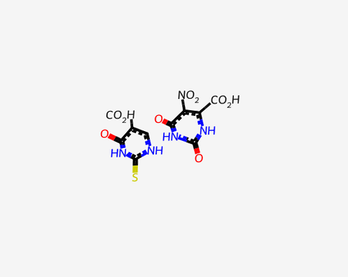 O=C(O)c1[nH]c(=O)[nH]c(=O)c1[N+](=O)[O-].O=C(O)c1c[nH]c(=S)[nH]c1=O